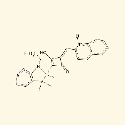 CCOC(=O)CN1c2ccccc2C(C)(C)C1(C)C1=C(O)/C(=C/c2ccc3ccccc3[n+]2CC)C1=O